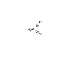 [AlH3].[Ce].[Cu].[Er].[Zn]